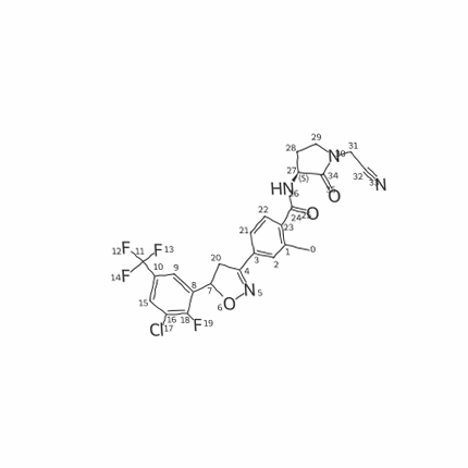 Cc1cc(C2=NOC(c3cc(C(F)(F)F)cc(Cl)c3F)C2)ccc1C(=O)N[C@H]1CCN(CC#N)C1=O